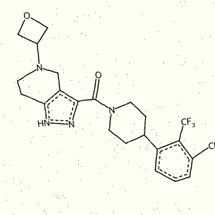 Cc1cccc(C2CCN(C(=O)c3n[nH]c4c3CN(C3COC3)CC4)CC2)c1C(F)(F)F